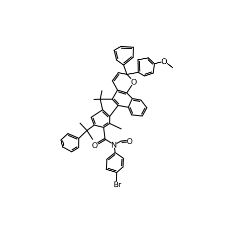 COc1ccc(C2(c3ccccc3)C=Cc3c4c(c5ccccc5c3O2)-c2c(cc(C(C)(C)c3ccccc3)c(C(=O)N(C=O)c3ccc(Br)cc3)c2C)C4(C)C)cc1